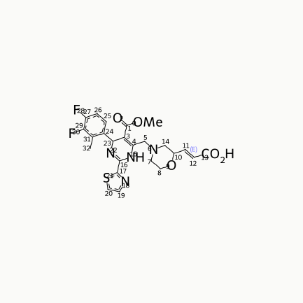 COC(=O)C1=C(CN2CCOC(/C=C/C(=O)O)C2)NC(c2nccs2)=NC1c1ccc(F)c(F)c1C